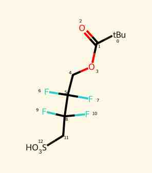 CC(C)(C)C(=O)OCC(F)(F)C(F)(F)CS(=O)(=O)O